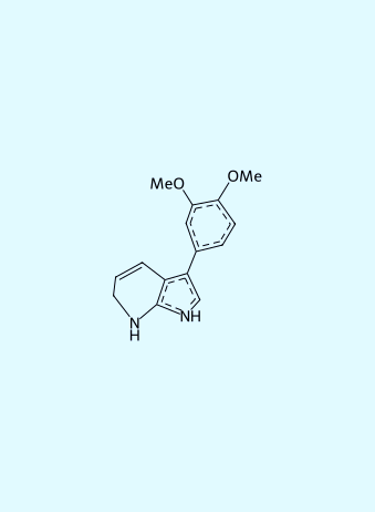 COc1ccc(-c2c[nH]c3c2C=CCN3)cc1OC